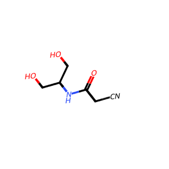 N#CCC(=O)NC(CO)CO